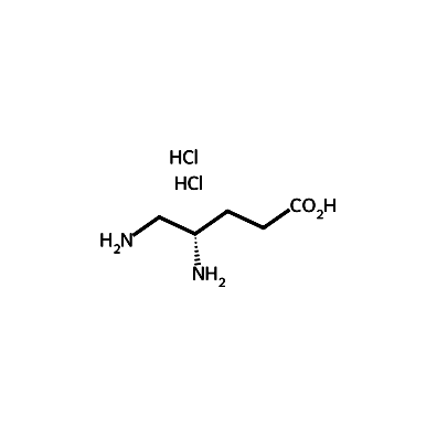 Cl.Cl.NC[C@@H](N)CCC(=O)O